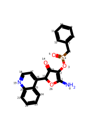 NC1=C(OS(=O)Cc2ccccc2)C(=O)C(c2ccnc3ccccc23)O1